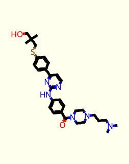 CN(C)CCCN1CCN(C(=O)c2ccc(Nc3nccc(-c4ccc(SCC(C)(C)CO)cc4)n3)cc2)CC1